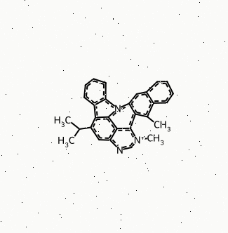 Cc1c2ccccc2cc2c1c1c3c(cc(C(C)C)c4c5ccccc5n2c43)nc[n+]1C